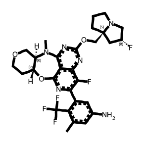 Cc1cc(N)cc(-c2nc3c4c(nc(OC[C@@]56CCCN5C[C@H](F)C6)nc4c2F)N(C)[C@@H]2COCC[C@H]2O3)c1C(F)(F)F